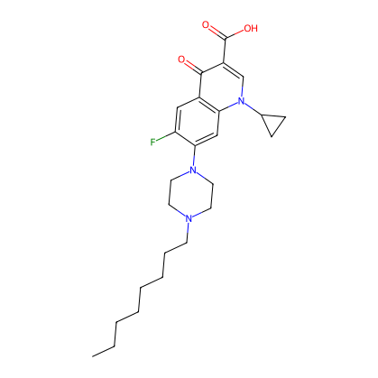 CCCCCCCCN1CCN(c2cc3c(cc2F)c(=O)c(C(=O)O)cn3C2CC2)CC1